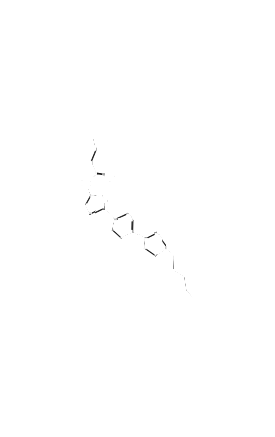 CC=CC(=O)Oc1ccc(-c2ccc(-c3ccc(CCCCC)cc3)cc2)s1